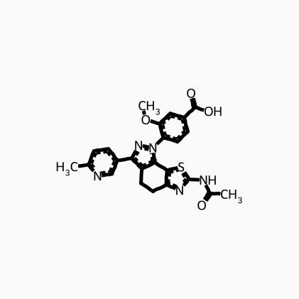 COc1cc(C(=O)O)ccc1-n1nc(-c2ccc(C)nc2)c2c1-c1sc(NC(C)=O)nc1CC2